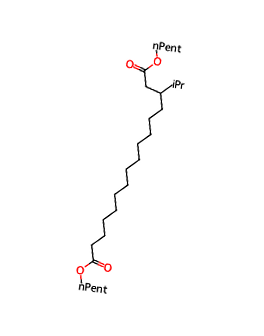 CCCCCOC(=O)CCCCCCCCCCCCC(CC(=O)OCCCCC)C(C)C